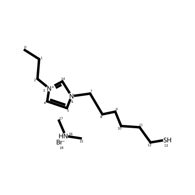 CCC[n+]1ccn(CCCCCCS)c1.CNC.[Br-]